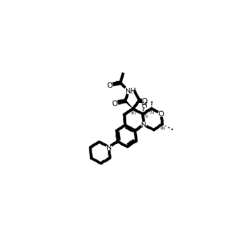 CC(=O)NC(=O)[C@]1(C(C)=O)Cc2cc(N3CCCCC3)ccc2N2C[C@@H](C)O[C@@H](C)[C@@H]21